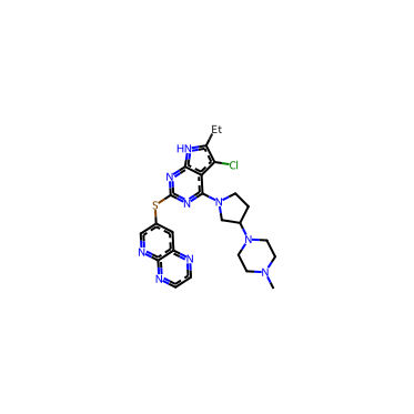 CCc1[nH]c2nc(Sc3cnc4nccnc4c3)nc(N3CCC(N4CCN(C)CC4)C3)c2c1Cl